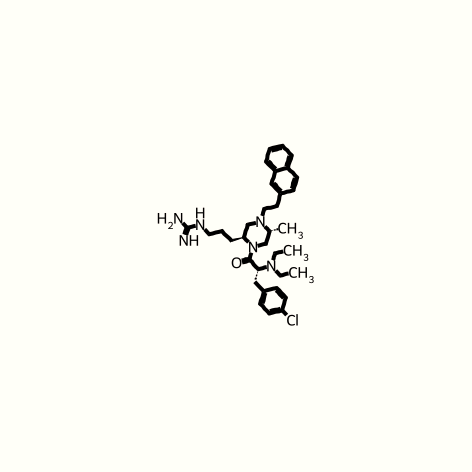 CCN(CC)[C@H](Cc1ccc(Cl)cc1)C(=O)N1C[C@@H](C)N(CCc2ccc3ccccc3c2)C[C@@H]1CCCNC(=N)N